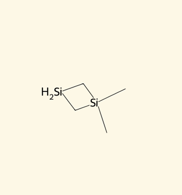 C[Si]1(C)C[SiH2]C1